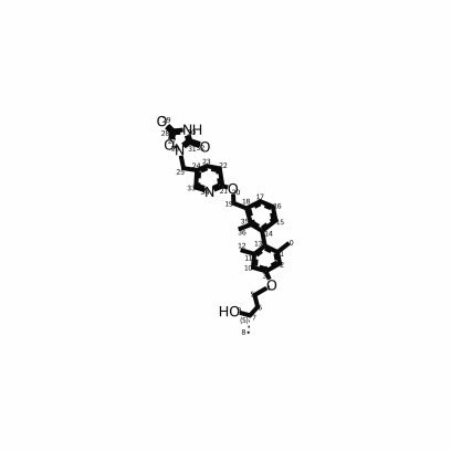 Cc1cc(OCC[C@H](C)O)cc(C)c1-c1cccc(COc2ccc(Cn3oc(=O)[nH]c3=O)cn2)c1C